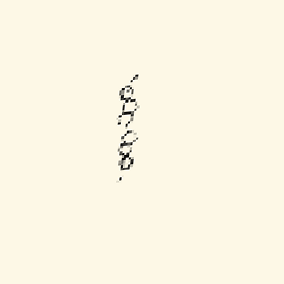 C=CCOC1CCC2CC(C3CCc4cc(OCCC)ccc4C3)CCC2C1